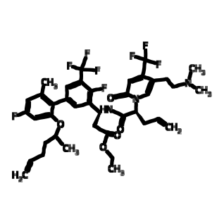 C=CCCC(C)Oc1cc(F)cc(C)c1-c1cc([C@H](CC(=O)OCC)NC(=O)[C@H](CC=C)n2cc(CCN(C)C)c(C(F)(F)F)cc2=O)c(F)c(C(F)(F)F)c1